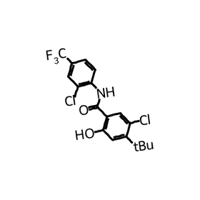 CC(C)(C)c1cc(O)c(C(=O)Nc2ccc(C(F)(F)F)cc2Cl)cc1Cl